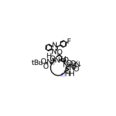 CN(C)S(=O)(=O)NC(=O)[C@@]12C[C@H]1/C=C\CCCCC[C@H](NC(=O)OC(C)(C)C)C(=O)N1C[C@H](Oc3nc4ccccc4nc3-c3ccc(F)cc3)C[C@H]1C(=O)N2